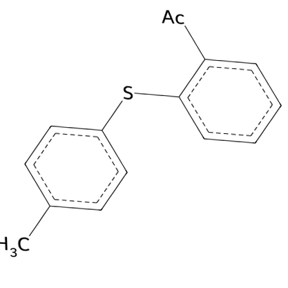 CC(=O)c1ccccc1Sc1ccc(C)cc1